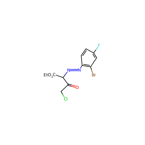 CCOC(=O)C(N=Nc1ccc(F)cc1Br)C(=O)CCl